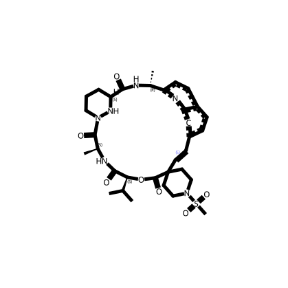 CC(C)[C@@H]1OC(=O)C2(/C=C/c3ccc4ccc(nc4c3)[C@@H](C)NC(=O)[C@@H]3CCCN(N3)C(=O)[C@H](C)NC1=O)CCN(S(C)(=O)=O)CC2